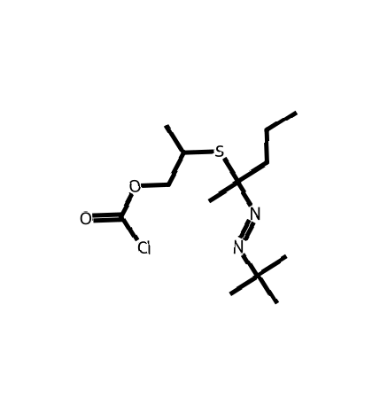 CCCC(C)(/N=N/C(C)(C)C)SC(C)COC(=O)Cl